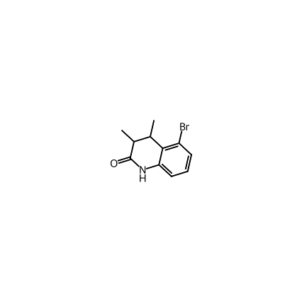 CC1C(=O)Nc2cccc(Br)c2C1C